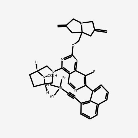 C=C1CN2CC(=C)CC2(COc2nc(N3C[C@H]4CC[C@@H](C3)N4C(=O)O)c3cnc(-c4cccc5cccc(C#C[Si](C(C)C)(C(C)C)C(C)C)c45)c(F)c3n2)C1